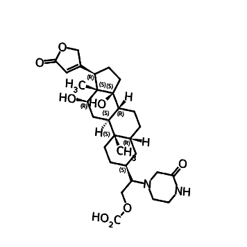 C[C@]12CC[C@H](C(COC(=O)O)N3CCNC(=O)C3)C[C@H]1CC[C@@H]1[C@@H]2C[C@@H](O)[C@]2(C)[C@@H](C3=CC(=O)OC3)CC[C@]12O